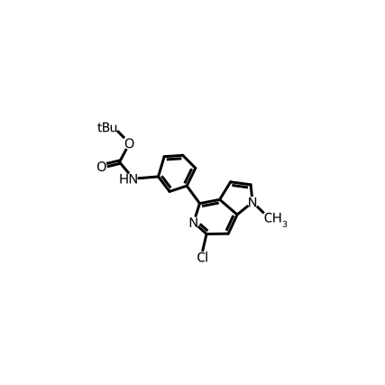 Cn1ccc2c(-c3cccc(NC(=O)OC(C)(C)C)c3)nc(Cl)cc21